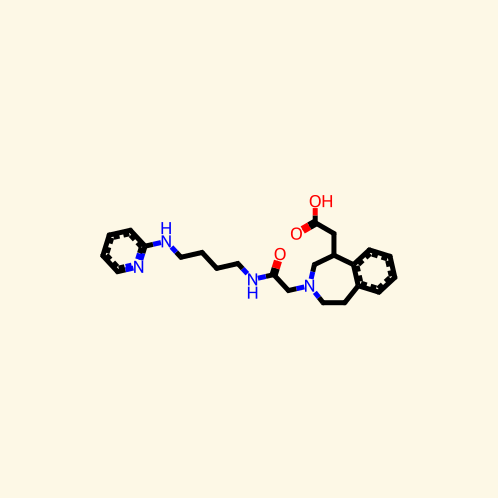 O=C(O)CC1CN(CC(=O)NCCCCNc2ccccn2)CCc2ccccc21